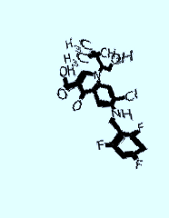 CC(C)(C)C(CO)n1cc(C(=O)O)c(=O)c2cc(NCc3c(F)cc(F)cc3F)c(Cl)cc21